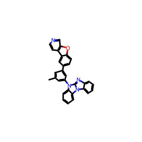 Cc1cc(-c2ccc3oc4cnccc4c3c2)cc(-n2c3ccccc3n3c4ccccc4nc23)c1